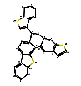 c1ccc2c(-c3cc4cc5sccc5cc4c4c3ccc3c5ccccc5sc34)csc2c1